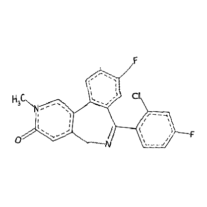 Cn1cc2c(cc1=O)CN=C(c1ccc(F)cc1Cl)c1cc(F)[c]cc1-2